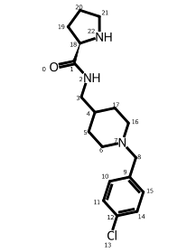 O=C(NCC1CCN(Cc2ccc(Cl)cc2)CC1)[C@H]1CCCN1